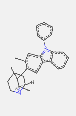 Cc1cc2c(cc1C1[C@@H](C)N3CCC1(C)CC3)c1ccccc1n2-c1ccccc1